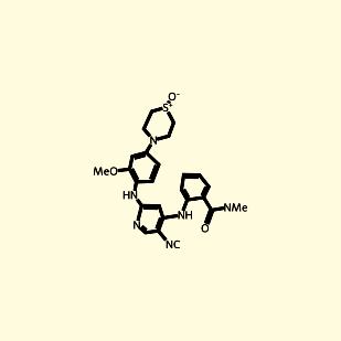 [C-]#[N+]c1cnc(Nc2ccc(N3CC[S+]([O-])CC3)cc2OC)cc1Nc1ccccc1C(=O)NC